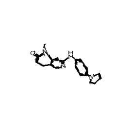 CN1C(=O)CCc2cnc(Nc3ccc(N4CCCC4)cc3)cc21